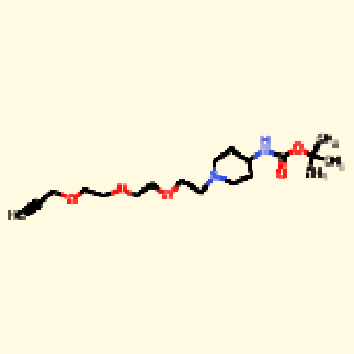 C#CCOCCOCCOCCN1CCC(NC(=O)OC(C)(C)C)CC1